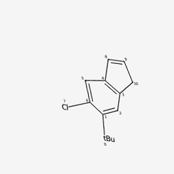 CC(C)(C)c1cc2c(cc1Cl)C=CC2